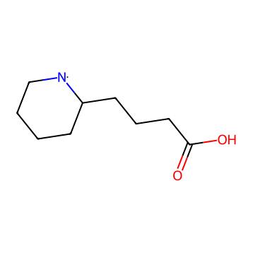 O=C(O)CCCC1CCCC[N]1